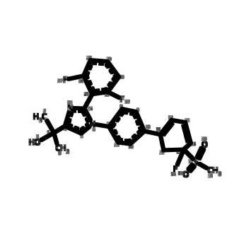 CC(C)(O)c1cn(-c2ccc(C3=CC=CC(F)(S(C)(=O)=O)C3)cc2)c(-c2c(F)cccc2F)n1